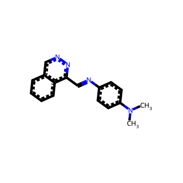 CN(C)c1ccc(N=Cc2nncc3ccccc23)cc1